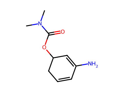 CN(C)C(=O)OC1C=C(N)C=CC1